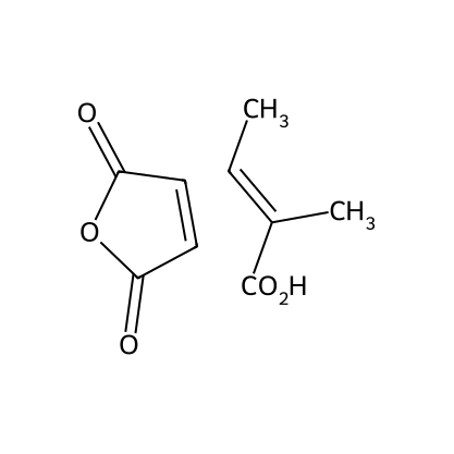 CC=C(C)C(=O)O.O=C1C=CC(=O)O1